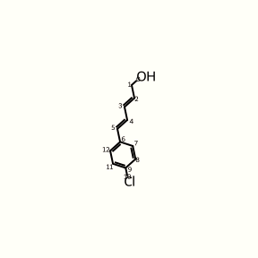 OCC=CC=Cc1ccc(Cl)cc1